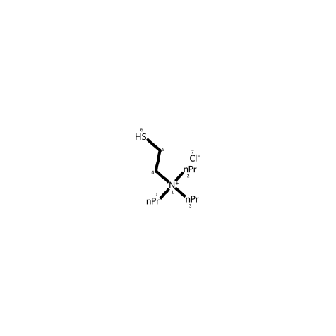 CCC[N+](CCC)(CCC)CCS.[Cl-]